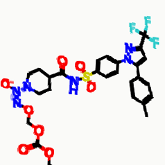 CCOC(=O)OCO/N=[N+](/[O-])N1CCC(C(=O)NS(=O)(=O)c2ccc(-n3nc(C(F)(F)F)cc3-c3ccc(C)cc3)cc2)CC1